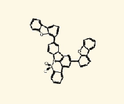 O=S1(=O)c2ccccc2-c2cc(C3C=CC=C4c5ccccc5OC43)cc3c2N1C1C=CC(c2cccc4c2oc2ccccc24)=CC31